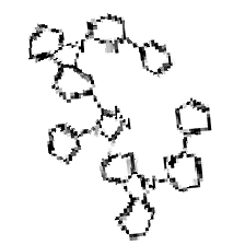 c1ccc(-c2cccc(-n3c4ccccc4c4ccc(-c5nnc(-c6ccc7c8ccccc8n(-c8cccc(-c9ccccc9)n8)c7c6)n5-c5ccccc5)cc43)n2)cc1